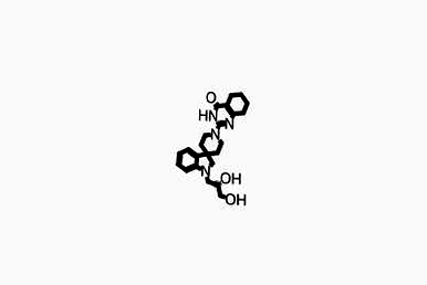 O=c1[nH]c(N2CCC3(CC2)CN(C[C@@H](O)CO)c2ccccc23)nc2c1CCCC2